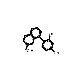 N#Cc1ccc(-c2cccc3ccc(C(=O)O)cc23)c(O)c1